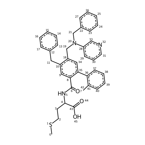 CSCCC(NC(=O)c1cc(Cc2ccccc2)c(CN(Cc2ccccc2)c2cccnc2)cc1-c1ccccc1C)C(=O)O